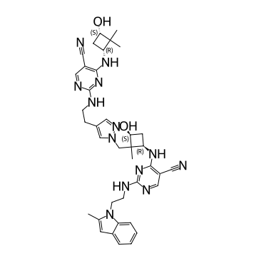 Cc1cc2ccccc2n1CCNc1ncc(C#N)c(N[C@@H]2C[C@H](O)C2(C)Cn2cc(CCNc3ncc(C#N)c(N[C@@H]4C[C@H](O)C4(C)C)n3)cn2)n1